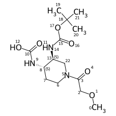 COCC(=O)N1CC[C@H](NC(=O)O)[C@@H](NC(=O)OC(C)(C)C)C1